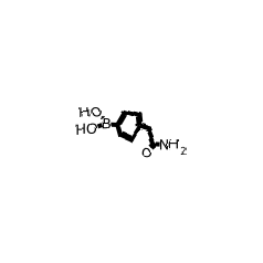 NC(=O)Cc1ccc(B(O)O)cc1